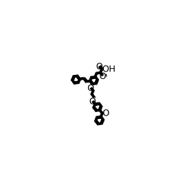 COC(Cc1ccc(OCCCOc2ccc(C(=O)c3ccccc3)cc2)c(C=Cc2ccccc2)c1)C(=O)O